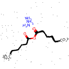 N.N.N.O=C(O)CCCCC(=O)OC(=O)CCCCC(=O)O